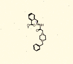 COC(=O)c1cc#ccc1/C=N/NC(=O)CN1CCN(Cc2ccccc2)CC1